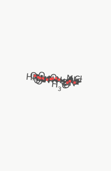 COc1cc2c(Nc3ccc(F)c(Cl)c3)ncnc2cc1OCCCN1CCC(CC(=O)N2CCN(c3ccc4c(c3)C(=O)N(C3C=CC(=O)NC3=O)C4=O)CC2)CC1